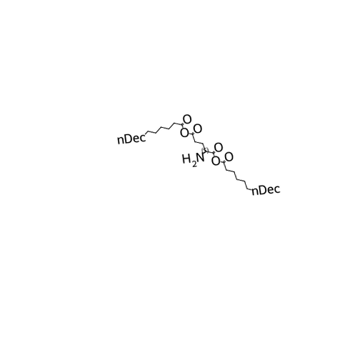 CCCCCCCCCCCCCCCC(=O)OC(=O)CC[C@H](N)C(=O)OC(=O)CCCCCCCCCCCCCCC